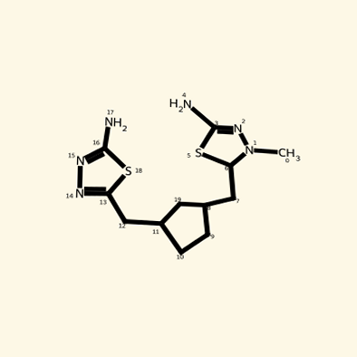 CN1N=C(N)SC1CC1CCC(Cc2nnc(N)s2)C1